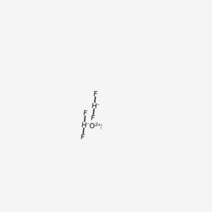 F[H-]F.F[H-]F.[O+2]